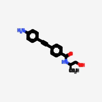 Nc1ccc(C#Cc2ccc(C(=O)N[C@@H](CO)C(=O)O)cc2)cc1